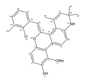 COc1c(O)ccc2c1-c1ccc3c(c1/C(=C/c1cccc(C)c1Cl)O2)C(C)=CC(C)(C)N3